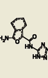 Nc1oc(C(=O)Nc2nnn[nH]2)c2ccccc12